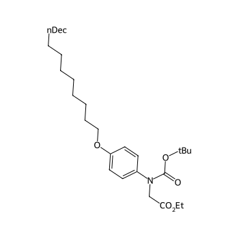 CCCCCCCCCCCCCCCCCCOc1ccc(N(CC(=O)OCC)C(=O)OC(C)(C)C)cc1